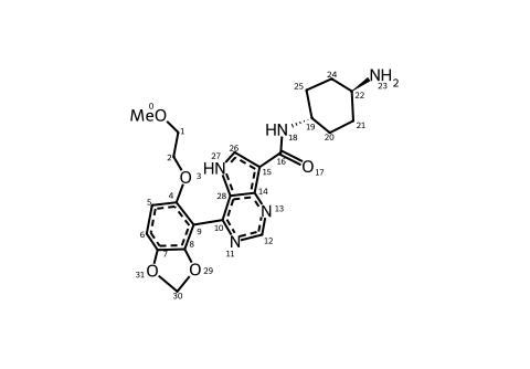 COCCOc1ccc2c(c1-c1ncnc3c(C(=O)N[C@H]4CC[C@H](N)CC4)c[nH]c13)OCO2